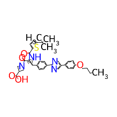 CCCCOc1ccc(-c2cnc(-c3ccc(C[C@H](NC(=O)c4ccc(C(C)(C)C)s4)C(=O)N4CC(C(=O)O)C4)cc3)nc2)cc1